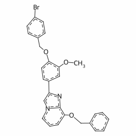 COc1cc(-c2cn3cccc(OCc4ccccc4)c3n2)ccc1OCc1ccc(Br)cc1